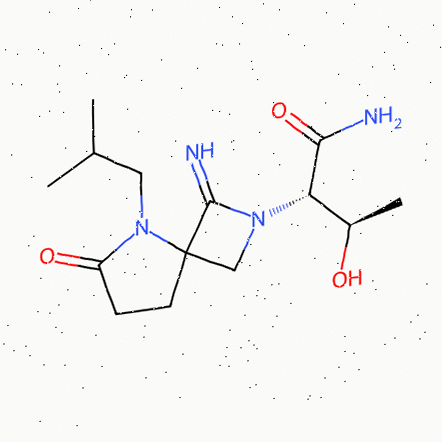 CC(C)CN1C(=O)CCC12CN([C@H](C(N)=O)[C@@H](C)O)C2=N